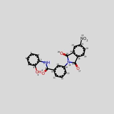 O=C(Nc1ccccc1O)c1cccc(N2C(=O)c3ccc([N+](=O)[O-])cc3C2=O)c1